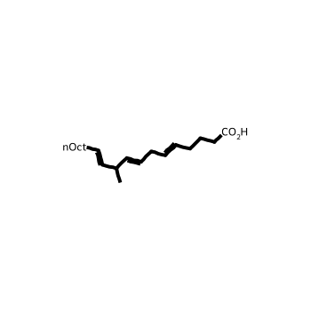 CCCCCCCCC=CC(C)C=CCC=CCCCC(=O)O